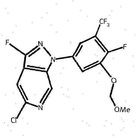 COCOc1cc(-n2nc(F)c3cc(Cl)ncc32)cc(C(F)(F)F)c1F